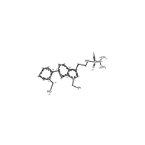 CC(C)Cn1cc(CCNS(=O)(=O)N(C)C)c2ccc(-c3ccccc3CO)cc21